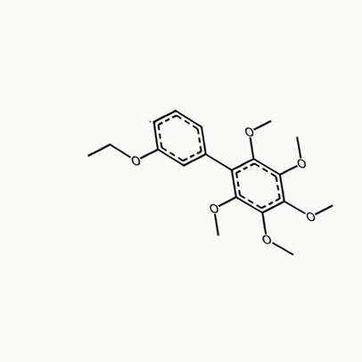 CCOc1[c]ccc(-c2c(OC)c(OC)c(OC)c(OC)c2OC)c1